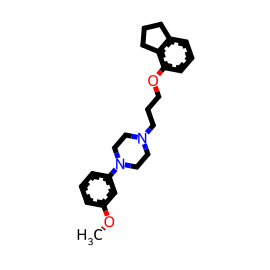 COc1cccc(N2CCN(CCCOc3cccc4c3CCC4)CC2)c1